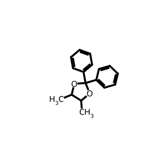 CC1OC(c2ccccc2)(c2ccccc2)OC1C